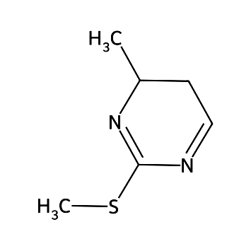 CSC1=NC(C)CC=N1